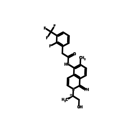 Cc1ccc2c(=P)n([C@H](C)CO)ccc2c1NC(=O)Cc1cccc(C(F)(F)F)c1F